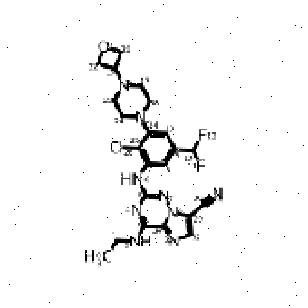 CCNc1nc(Nc2cc(C(F)F)cc(N3CCN(C4COC4)CC3)c2Cl)nn2c(C#N)cnc12